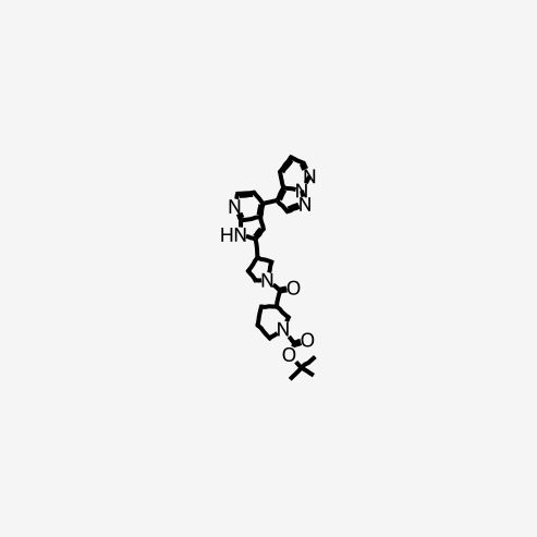 CC(C)(C)OC(=O)N1CCCC(C(=O)N2CCC(c3cc4c(-c5cnn6ncccc56)ccnc4[nH]3)C2)C1